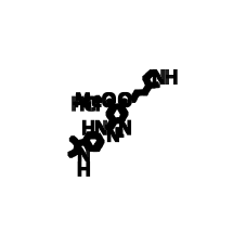 COc1cc2c(Nc3ccc4[nH]c(C)c(C)c4c3)ncnc2cc1OCCCC1CCNC1.Cl